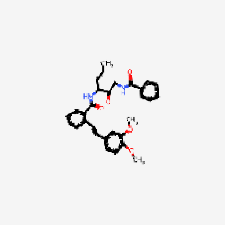 CCCC(NC(=O)c1ccccc1C=Cc1ccc(OC)c(OC)c1)C(=O)CNC(=O)c1ccccc1